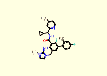 Cc1ccnc(C(NC(=O)c2cc(Cn3ccn(C)c3=N)cc(-c3ccc(F)cc3C(F)(F)F)c2F)C2CC2)c1